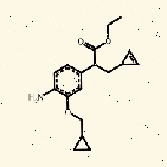 CCOC(=O)C(CC1C=C1)c1ccc(N)c(OCC2CC2)c1